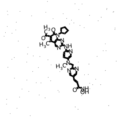 CC(=O)c1c(C)c2cnc(Nc3ccc(N(C)Cc4ncc(/C=C/C(=O)NO)cn4)cn3)nc2n(C2CCCC2)c1=O